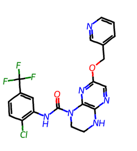 O=C(Nc1cc(C(F)(F)F)ccc1Cl)N1CCNc2ncc(OCc3cccnc3)nc21